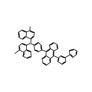 Cc1ccc(N(c2ccc(-c3c4ccccc4c(-c4cccc(-c5ccccc5)c4)c4ccccc34)cc2)c2ccc(C)c3ccccc23)c2ccccc12